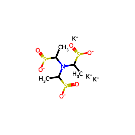 CC(N(C(C)S(=O)[O-])C(C)S(=O)[O-])S(=O)[O-].[K+].[K+].[K+]